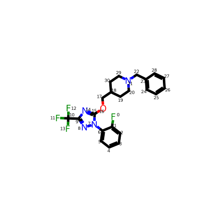 Fc1ccccc1-n1nc(C(F)(F)F)nc1OCC1CCN(Cc2ccccc2)CC1